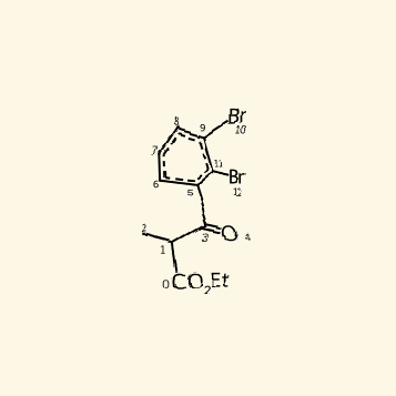 CCOC(=O)C(C)C(=O)c1cccc(Br)c1Br